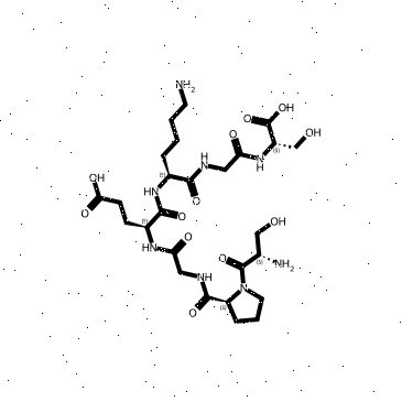 NCCCC[C@H](NC(=O)[C@H](CCC(=O)O)NC(=O)CNC(=O)[C@@H]1CCCN1C(=O)[C@@H](N)CO)C(=O)NCC(=O)N[C@@H](CO)C(=O)O